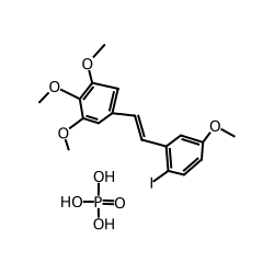 COc1ccc(I)c(C=Cc2cc(OC)c(OC)c(OC)c2)c1.O=P(O)(O)O